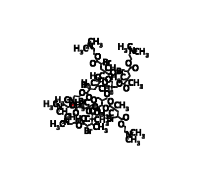 CC(C(Br)C(=O)OCCN(C)C)C(C)(C)C(=O)OCC(OC(=O)C(C)(C)CC(Br)C(=O)OCCN(C)C)C(COCC(COC(=O)C(C)(C)CC(Br)C(=O)OCCN(C)C)(COC(=O)C(C)(C)CC(Br)C(=O)OCCN(C)C)COC(=O)C(C)(C)CC(Br)C(=O)OCCN(C)C)COC(=O)C(C)(C)CC(Br)C(=O)OCCN(C)C